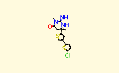 CN1C(=N)N[C@](C)(c2cc(-c3ccc(Cl)s3)cs2)CC1=O